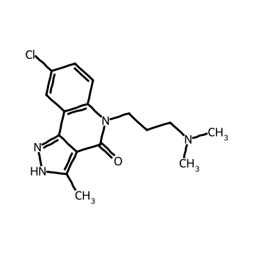 Cc1[nH]nc2c1c(=O)n(CCCN(C)C)c1ccc(Cl)cc21